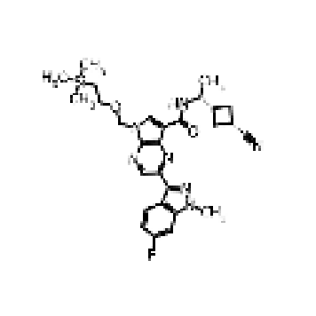 CC(NC(=O)c1cn(COCC[Si](C)(C)C)c2ncc(-c3nn(C)c4cc(F)ccc34)nc12)[C@H]1C[C@@H](C#N)C1